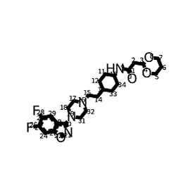 O=C(CC1OCCCO1)NC1CCC(CCN2CCN(c3noc4cc(F)c(F)cc34)CC2)CC1